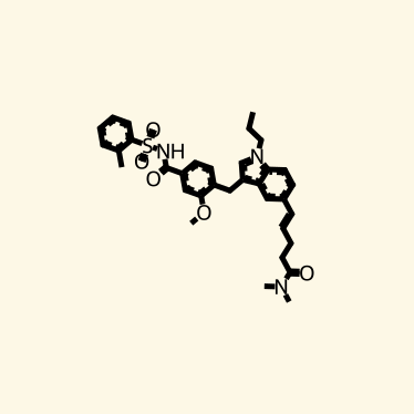 CCCn1cc(Cc2ccc(C(=O)NS(=O)(=O)c3ccccc3C)cc2OC)c2cc(C=CCCC(=O)N(C)C)ccc21